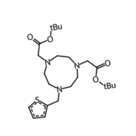 CC(C)(C)OC(=O)CN1CCN(CC(=O)OC(C)(C)C)CCN(Cc2cccs2)CC1